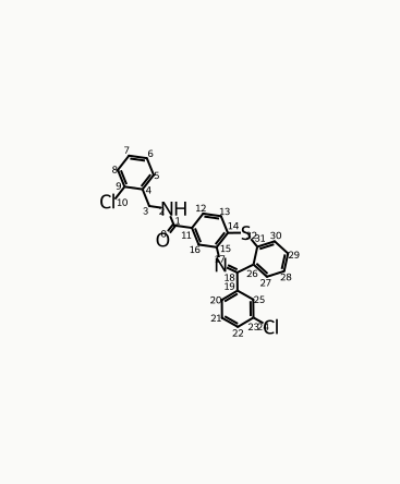 O=C(NCc1ccccc1Cl)c1ccc2c(c1)N=C(c1cccc(Cl)c1)c1ccccc1S2